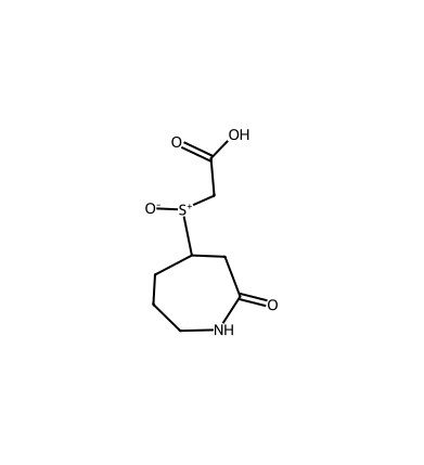 O=C(O)C[S+]([O-])C1CCCNC(=O)C1